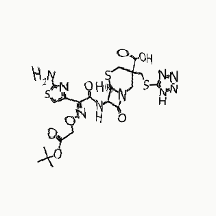 CC(C)(C)OC(=O)CON=C(C(=O)NC1C(=O)N2CC(CSc3nnn[nH]3)(C(=O)O)CS[C@H]12)c1csc(N)n1